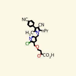 CCCc1c(C#N)c(-c2ccc(C#N)cc2)c(C)n1Cc1cnc(Cl)c(COCCC(=O)C(=O)O)c1